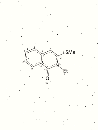 CCn1c(SC)cc2ccccc2c1=O